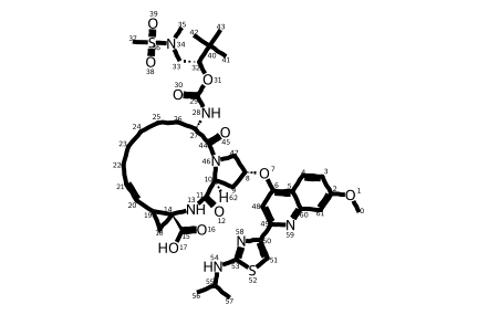 COc1ccc2c(O[C@@H]3C[C@H]4C(=O)N[C@]5(C(=O)O)CC5/C=C\CCCCC[C@H](NC(=O)O[C@H](CN(C)S(C)(=O)=O)C(C)(C)C)C(=O)N4C3)cc(-c3csc(NC(C)C)n3)nc2c1